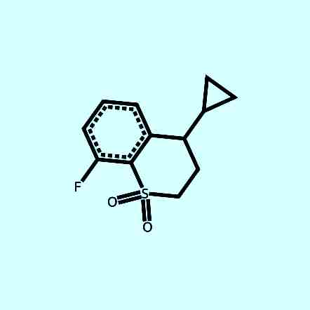 O=S1(=O)CCC(C2CC2)c2cccc(F)c21